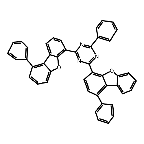 c1ccc(-c2nc(-c3cccc4c3oc3cccc(-c5ccccc5)c34)nc(-c3ccc(-c4ccccc4)c4c3oc3ccccc34)n2)cc1